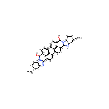 COC1=CC2N=c3c4ccc5c6ccc7c8c(ccc(c9ccc(c(=O)n3C2C=C1)c4c95)c68)c(=O)n1c2ccc(OC)cc2nc71